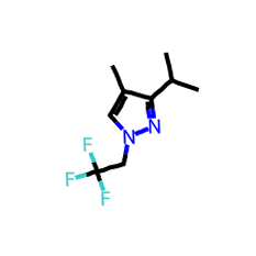 Cc1cn(CC(F)(F)F)nc1C(C)C